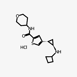 Cl.O=C(NC1CCOCC1)c1cc([C@@H]2C[C@H]2NC2CCC2)cs1